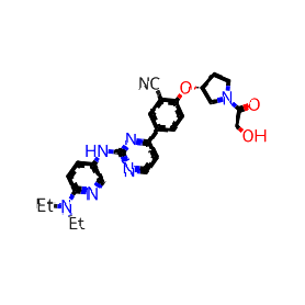 CCN(CC)c1ccc(Nc2nccc(-c3ccc(O[C@@H]4CCN(C(=O)CO)C4)c(C#N)c3)n2)cn1